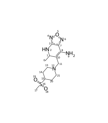 CC1Nc2nonc2C(N)=C1CN1CCC(S(C)(=O)=O)CC1